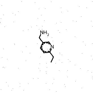 CCc1ccc(CN)cn1